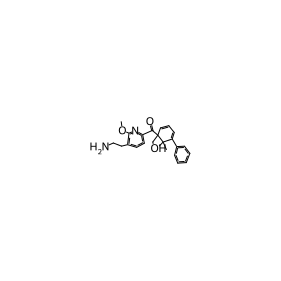 COc1nc(C(=O)C2(CO)C=CC=C(c3ccccc3)C2(C)C)ccc1CCN